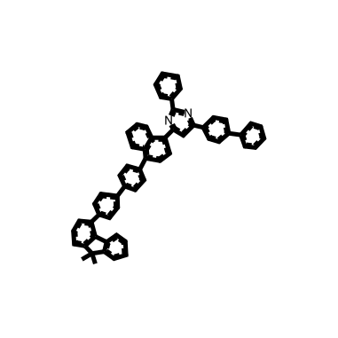 CC1(C)c2ccccc2-c2c(-c3ccc(-c4ccc(-c5ccc(-c6cc(-c7ccc(-c8ccccc8)cc7)nc(-c7ccccc7)n6)c6ccccc56)cc4)cc3)cccc21